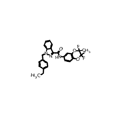 CCc1ccc(Cn2nc(C(=O)Nc3ccc4c(c3)OC(C)(F)C(F)(F)O4)c3ccccc32)cc1